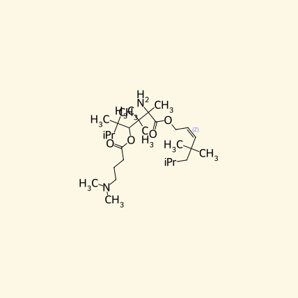 CC(C)CC(C)(C)/C=C\COC(=O)C(C)(N)C(C)(C)C(OC(=O)CCCN(C)C)C(C)(C)C(C)C